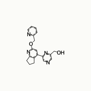 OCc1cncc(-c2cc(OCc3ccccn3)nc3c2CCC3)n1